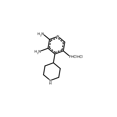 Cl.Cl.Nc1ncc(F)c(C2CCNCC2)c1N